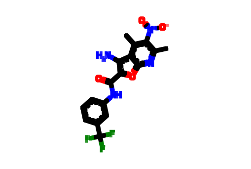 Cc1nc2oc(C(=O)Nc3cccc(C(F)(F)F)c3)c(N)c2c(C)c1[N+](=O)[O-]